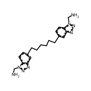 NCn1nnc2[c]c(CCCCCCc3[c]c4nnn(CN)c4cc3)ccc21